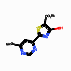 CCOC(=O)c1sc(-c2cc(OC)ncn2)nc1O